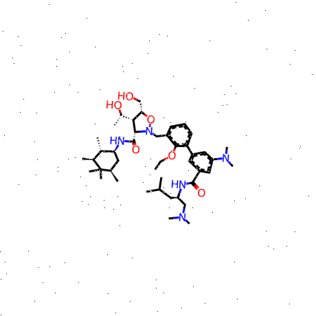 CCOc1c(CN2O[C@@H](CO)[C@@H]([C@H](C)O)[C@H]2C(=O)N[C@H]2C[C@@H](C)C(C)(C)[C@@H](C)[C@@H]2C)cccc1-c1cc(C(=O)N[C@H](CC(C)C)CN(C)C)cc(N(C)C)c1